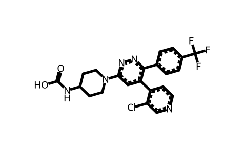 O=C(O)NC1CCN(c2cc(-c3ccncc3Cl)c(-c3ccc(C(F)(F)F)cc3)nn2)CC1